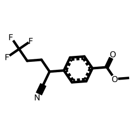 COC(=O)c1ccc(C(C#N)CCC(F)(F)F)cc1